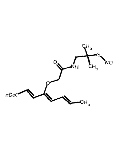 C/C=C/C=C(/C=C/CCCCCCCCCC)OCC(=O)NCC(C)(C)SN=O